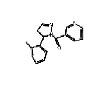 Cc1ccccc1C1CC=NN1C(=O)c1cccnc1